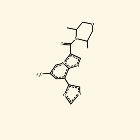 CC1COCC(C)N1C(=O)c1cnc2c(-c3cnco3)cc(C(F)(F)F)cn12